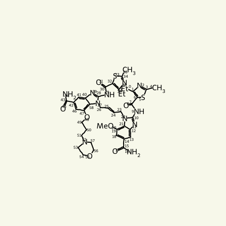 CCc1nc(C)sc1C(=O)Nc1nc2cc(C(N)=O)cc(OC)c2n1C/C=C/Cn1c(NC(=O)c2sc(C)nc2CC)nc2cc(C(N)=O)cc(OCCCN3CCOCC3)c21